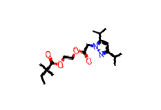 CCC(C)(C)C(=O)OCCOC(=O)Cn1nc(C(C)C)cc1C(C)C